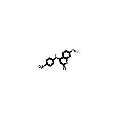 O=[N+]([O-])c1ccc(Nc2cc(Cl)nc3cc(OC(F)(F)F)ccc23)cc1